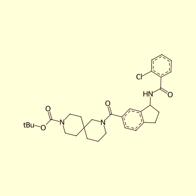 CC(C)(C)OC(=O)N1CCC2(CCCN(C(=O)c3ccc4c(c3)C(NC(=O)c3ccccc3Cl)CC4)C2)CC1